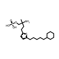 CC(N)(CCc1ccc(CCCCCC2CCCCC2)s1)COP(=O)(O)O